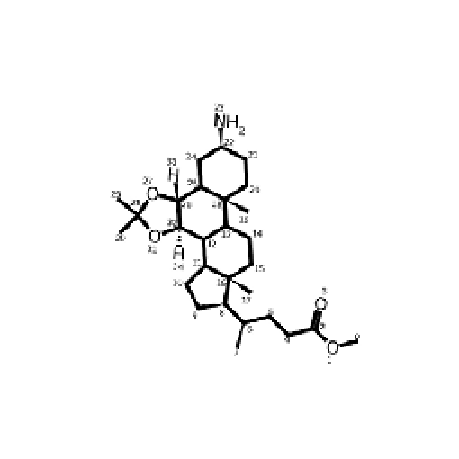 COC(=O)CC[C@@H](C)[C@H]1CCC2C3C(CC[C@@]21C)[C@@]1(C)CC[C@H](N)CC1[C@H]1OC(C)(C)O[C@H]31